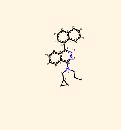 CCCN(CC1CC1)c1nnc(-c2cccc3ccccc23)c2ccccc12